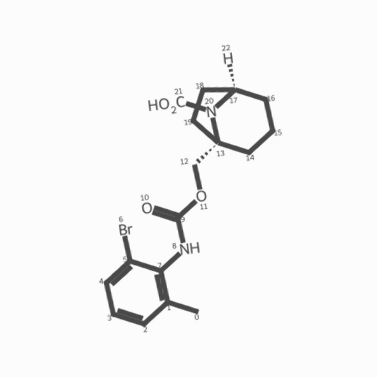 Cc1cccc(Br)c1NC(=O)OC[C@]12CCC[C@H](CC1)N2C(=O)O